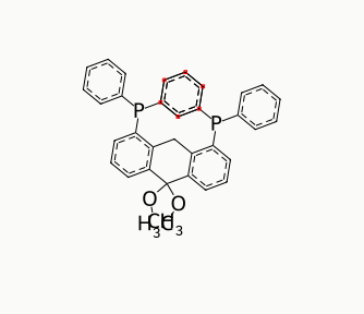 COC1(OC)c2cccc(P(c3ccccc3)c3ccccc3)c2Cc2c(P(c3ccccc3)c3ccccc3)cccc21